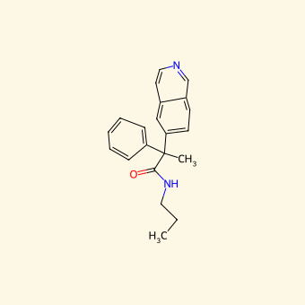 CCCNC(=O)C(C)(c1ccccc1)c1ccc2cnccc2c1